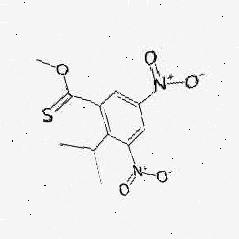 COC(=S)c1cc([N+](=O)[O-])cc([N+](=O)[O-])c1C(C)C